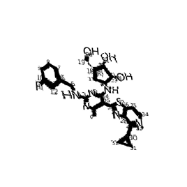 Cc1nc(NCc2cccc(F)c2)nc(N[C@@H]2C[C@H](CO)[C@@H](O)[C@H]2O)c1-c1nc2c(C3CC3)nccc2s1